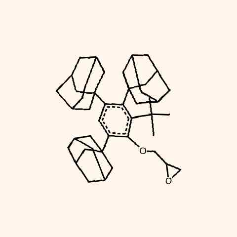 CC(C)(C)c1c(OCC2CO2)c(C23CC4CC(CC(C4)C2)C3)cc(C23CC4CC(CC(C4)C2)C3)c1C12CC3CC(CC(C3)C1)C2